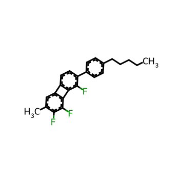 CCCCCc1ccc(-c2ccc3c(c2F)-c2c-3cc(C)c(F)c2F)cc1